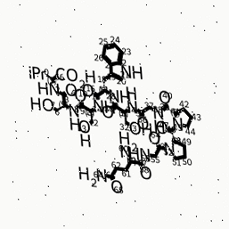 CC(C)[C@H](NC(=O)[C@H](CO)NC(=O)[C@H](CO)NC(=O)[C@H](Cc1c[nH]c2ccccc12)NC(=O)[C@H](CO)NC(=O)CNC(=O)[C@@H]1CCCN1C(=O)[C@@H]1CCCN1C(=O)CNC(=O)[C@@H](N)CCC(N)=O)C(=O)O